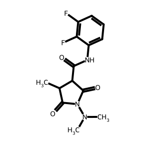 CC1C(=O)N(N(C)C)C(=O)C1C(=O)Nc1cccc(F)c1F